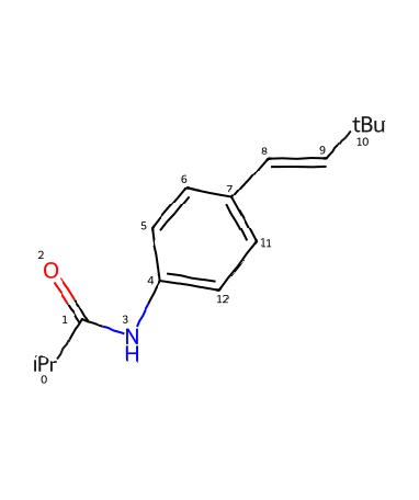 CC(C)C(=O)Nc1ccc(/C=C/C(C)(C)C)cc1